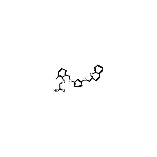 Cc1cccc(COc2cccc(OCc3ccc4ccccc4n3)c2)c1OCC(=O)O